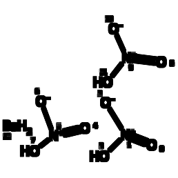 O=[N+]([O-])O.O=[N+]([O-])O.O=[N+]([O-])O.[BaH2]